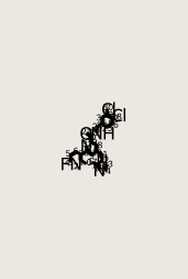 Cc1nc(F)ccc1-c1cc(Cn2ccnc2C)cc(C(=O)NCc2ccc(Cl)c(Cl)c2)n1